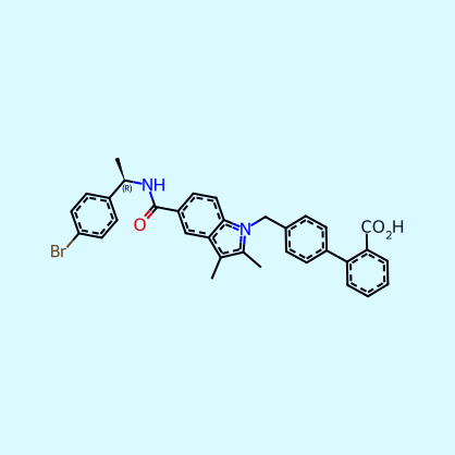 Cc1c(C)n(Cc2ccc(-c3ccccc3C(=O)O)cc2)c2ccc(C(=O)N[C@H](C)c3ccc(Br)cc3)cc12